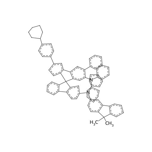 CC1(C)c2ccccc2-c2cc(N(c3ccccc3)c3ccc4c(c3)C3(c5ccccc5-4)c4ccc(-c5ccc(C6CCCCC6)cc5)cc4-c4cc(-c5ccccc5)c(N(c5ccccc5)c5ccccc5)cc43)ccc21